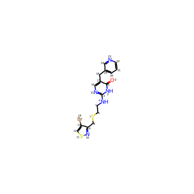 O=c1[nH]c(NCCSCc2nscc2Br)ncc1Cc1cccnc1